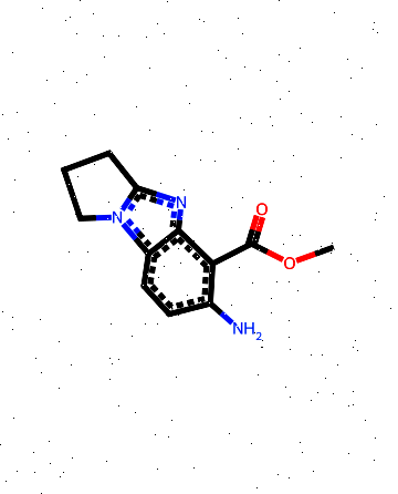 COC(=O)c1c(N)ccc2c1nc1n2CCC1